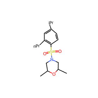 CCCc1cc(C(C)C)ccc1S(=O)(=O)N1CC(C)OC(C)C1